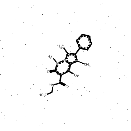 Cc1c(-c2ccccc2)c(C)n2c1c(O)c(C(=O)NCC(=O)O)c(=O)n2C